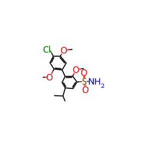 COc1cc(-c2cc(C(C)C)cc(S(N)(=O)=O)c2OC)c(OC)cc1Cl